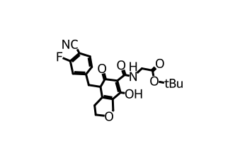 CC(C)(C)OC(=O)CNC(=O)C1=C(O)C2=C(CCOC2)C(Cc2ccc(C#N)c(F)c2)C1=O